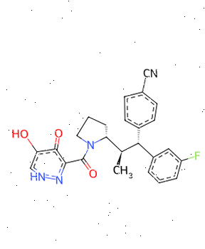 C[C@H]([C@H](c1ccc(C#N)cc1)c1cccc(F)c1)[C@H]1CCCN1C(=O)c1n[nH]cc(O)c1=O